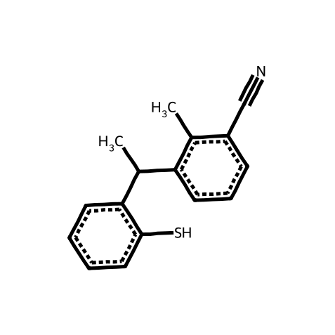 Cc1c(C#N)cccc1C(C)c1ccccc1S